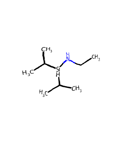 CCN[SiH](C(C)C)C(C)C